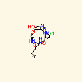 CC(C)CCCCCCC1NC(=O)Cc2ccc(Cl)cc2Nc2ncnc3cc(O)c(cc23)OCCCNC1=O